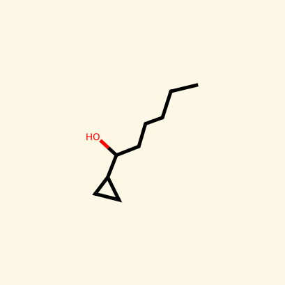 CCCCCC(O)C1CC1